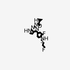 O=C(Nc1nc(-c2ccc(NSCCCF)c(F)c2)c2cc[nH]c2n1)C1CC1